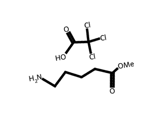 COC(=O)CCCCN.O=C(O)C(Cl)(Cl)Cl